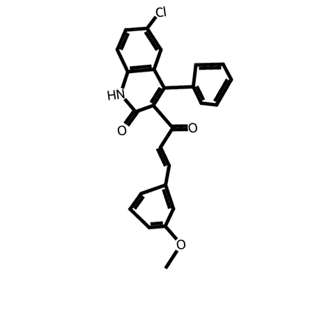 COc1cccc(C=CC(=O)c2c(-c3ccccc3)c3cc(Cl)ccc3[nH]c2=O)c1